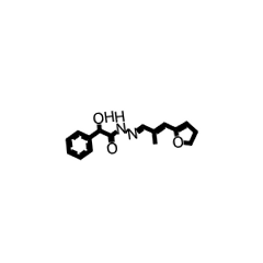 CC(/C=N/NC(=O)C(O)c1ccccc1)=C\C1=CCCO1